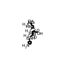 C[C@@H](NC(=O)[C@H]1CCC(N)C1)[C@H]1C(=O)N2C(C(=O)O)=C(SC3CNC(C(=O)N(C)C)C3)[C@H](C)[C@H]12